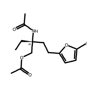 CC[C@@](CCc1ccc(I)o1)(COC(C)=O)NC(C)=O